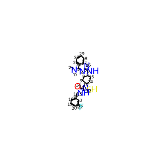 CN(C)c1nc(NC2CCC(N(S)C(=O)NCc3cccc(F)c3)CC2)nc2ccccc12